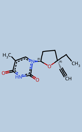 C#C[C@@]1(CC)CC[C@H](n2cc(C)c(=O)[nH]c2=O)O1